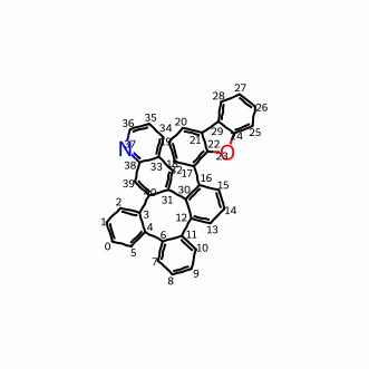 c1ccc2c(c1)-c1ccccc1-c1cccc(-c3cccc4c3oc3ccccc34)c1-c1cc3cccnc3cc1-2